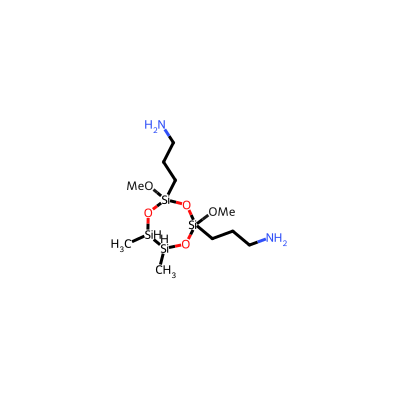 CO[Si]1(CCCN)O[SiH](C)[SiH](C)O[Si](CCCN)(OC)O1